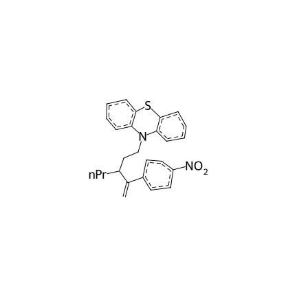 C=C(c1ccc([N+](=O)[O-])cc1)C(CCC)CCN1c2ccccc2Sc2ccccc21